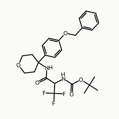 CC(C)(C)OC(=O)NC(C(=O)NC1(c2ccc(OCc3ccccc3)cc2)CCOCC1)C(F)(F)F